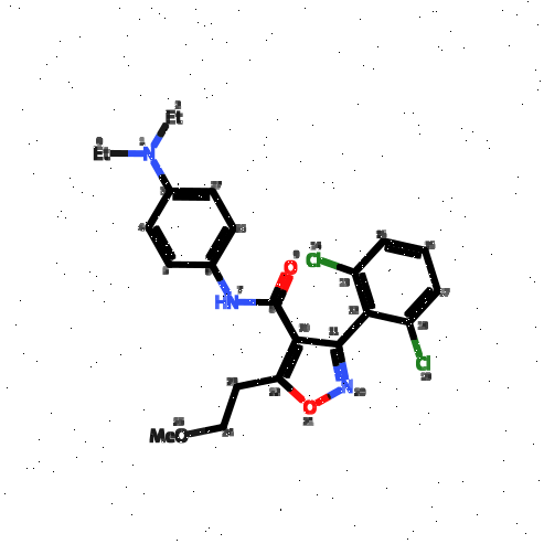 CCN(CC)c1ccc(NC(=O)c2c(-c3c(Cl)cccc3Cl)noc2CCOC)cc1